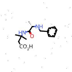 C[C@H](NCc1ccccc1)C(=O)NC(C)(C)CC(=O)O